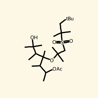 CC(=O)OC(C)C(C)C(C)(OC(C)(C)CS(=O)(=O)C(C)(C)CC(C)(C)C)C(C)C(C)(C)O